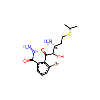 CC(C)SCC[C@@H](N)C(O)C(=O)c1c(Br)cccc1C(=O)NN